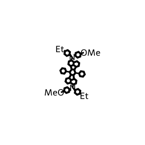 CCc1ccc(N(c2ccc(OC)cc2)c2ccc3c4c(-c5ccccc5)c5c6cccc7c(N(c8ccc(CC)cc8)c8ccc(OC)cc8)ccc(c5c(-c5ccccc5)c4c4cccc2c43)c76)cc1